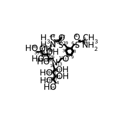 C[C@H](N)C(=O)SCc1ccc(OCCN(C[C@H](O)[C@@H](O)[C@H](O)[C@H](O)CO)C[C@H](O)[C@@H](O)[C@H](O)[C@H](O)CO)cc1CSC(=O)[C@H](C)N